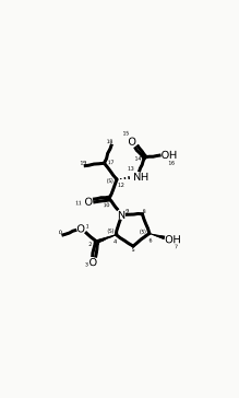 COC(=O)[C@@H]1C[C@H](O)CN1C(=O)[C@@H](NC(=O)O)C(C)C